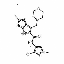 Cc1nc2[nH]c(C(=O)Nc3cn(C)nc3Cl)c(CN3CCOCC3)c2s1